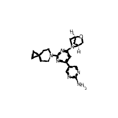 Nc1ncc(-c2cc(N3C[C@@H]4C[C@H]3CO4)nc(N3CCC4(CC3)CC4)n2)cn1